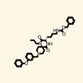 CCCN1C(=O)[C@H](CCCCNC(=O)OCc2ccccc2)NC(=O)C12CCN(Cc1cccc(Oc3ccccc3)c1)CC2